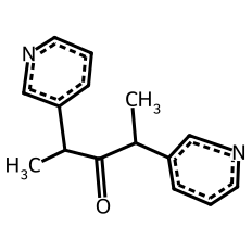 CC(C(=O)C(C)c1cccnc1)c1cccnc1